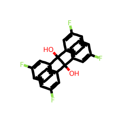 OC(c1cccc(F)c1)(c1cccc(F)c1)C(O)(c1cccc(F)c1)c1cccc(F)c1